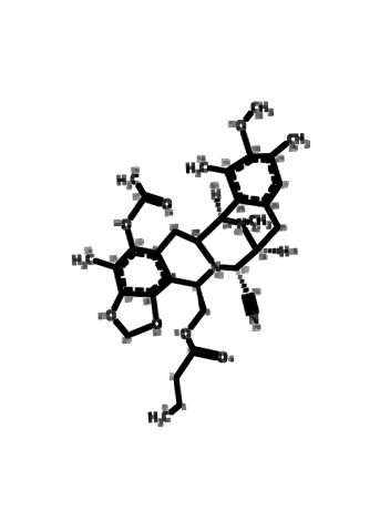 CCCC(=O)OC[C@H]1c2c(c(OC(C)=O)c(C)c3c2OCO3)CC2[C@H]3c4c(cc(C)c(OC)c4C)C[C@@H]([C@H](C#N)N21)N3C